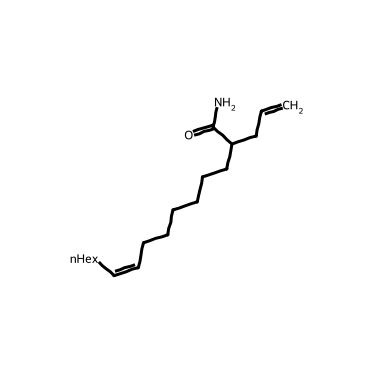 C=CCC(CCCCCC/C=C\CCCCCC)C(N)=O